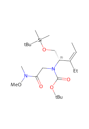 CC=C(CC)[C@@H](CO[Si](C)(C)C(C)(C)C)N(CC(=O)N(C)OC)C(=O)OC(C)(C)C